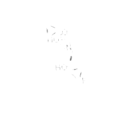 Cc1ccc(C(=O)C2(O)CCN(CC#CC(O)c3ccc(F)cc3)CC2)cc1